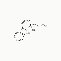 CCCCC1(CCC(=O)O)OC=CC2c3ccccc3NC21